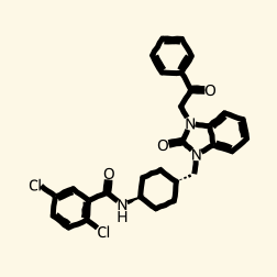 O=C(Cn1c(=O)n(C[C@H]2CC[C@H](NC(=O)c3cc(Cl)ccc3Cl)CC2)c2ccccc21)c1ccccc1